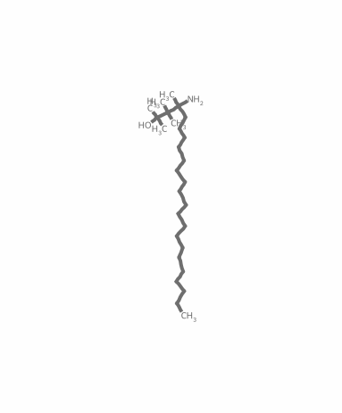 CCCCCCCCCCCCCCCCCCCC(C)(N)C(C)(C)C(C)(C)O